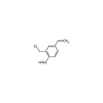 C=Cc1ccc(CCCCCC)c(CCl)c1